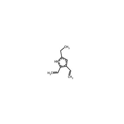 C=Cc1cc(CC)[nH]c1C=C